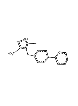 Cc1[nH]nc(C(=O)O)c1Cc1ccc(-c2ccccc2)cc1